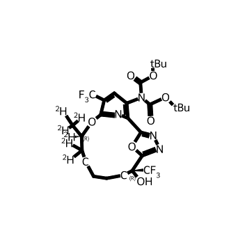 [2H]C([2H])([2H])[C@@]1([2H])Oc2nc(c(N(C(=O)OC(C)(C)C)C(=O)OC(C)(C)C)cc2C(F)(F)F)-c2nnc(o2)[C@@](O)(C(F)(F)F)CCCCC1([2H])[2H]